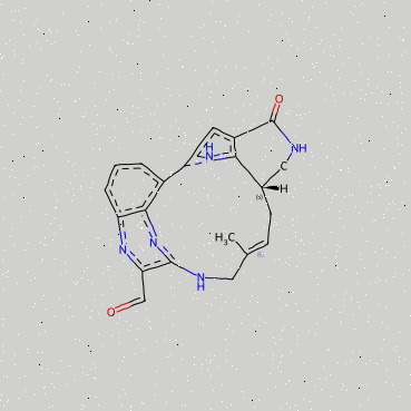 C/C1=C\C[C@H]2CNC(=O)c3cc([nH]c32)-c2cccc3nc(C=O)c(nc23)NC1